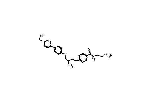 CC(C)Cc1ccc(-c2ccc(SCC(C)CCc3ccc(C(=O)NCCC(=O)O)cc3)cc2)cc1